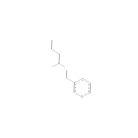 [CH2]CCC(N)OCc1ccccc1